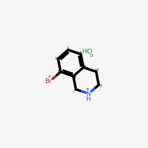 Brc1cccc2c1CNCC2.Cl